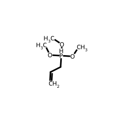 C=CC[PH](OC)(OC)OC